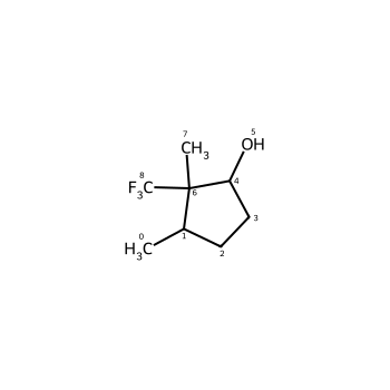 CC1CCC(O)C1(C)C(F)(F)F